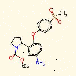 CC(C)(C)OC(=O)N1CCCC1c1cc(N)ccc1Oc1ccc(S(C)(=O)=O)cc1